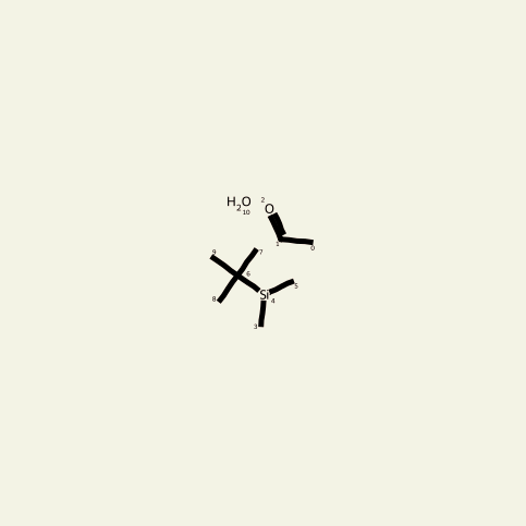 CC=O.C[Si](C)C(C)(C)C.O